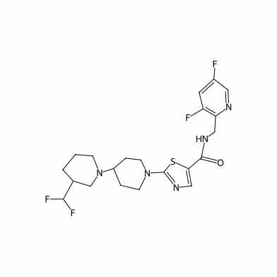 O=C(NCc1ncc(F)cc1F)c1cnc(N2CCC(N3CCCC(C(F)F)C3)CC2)s1